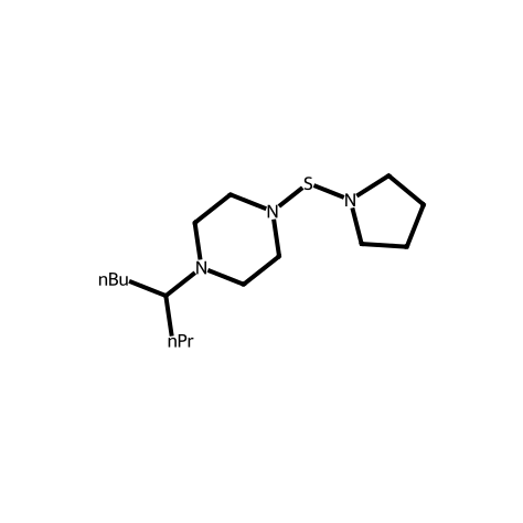 CCCCC(CCC)N1CCN(SN2CCCC2)CC1